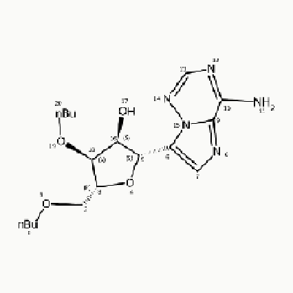 CCCCOC[C@H]1O[C@@H](c2cnc3c(N)ncnn23)[C@H](O)[C@@H]1OCCCC